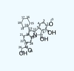 COc1ccc2c(c1O)C(O)n1c-2c(C2CCCCC2)c2ccc(C(=O)CO)cc21